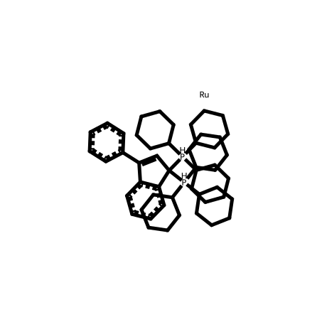 C1=C(c2ccccc2)c2ccccc2C1([PH](C1CCCCC1)(C1CCCCC1)C1CCCCC1)[PH](C1CCCCC1)(C1CCCCC1)C1CCCCC1.[Ru]